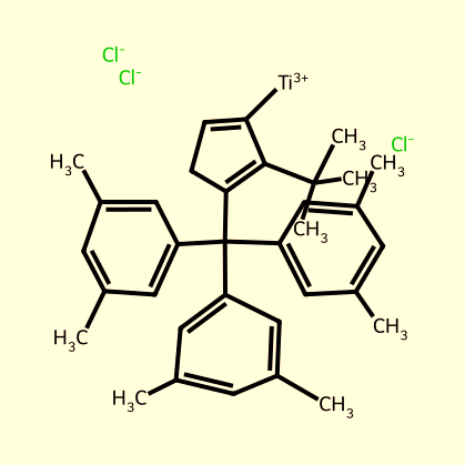 Cc1cc(C)cc(C(C2=C(C(C)(C)C)[C]([Ti+3])=CC2)(c2cc(C)cc(C)c2)c2cc(C)cc(C)c2)c1.[Cl-].[Cl-].[Cl-]